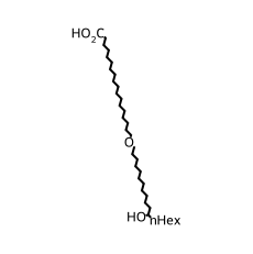 CCCCCCC(O)CCCCCCCCCCCOCCCCCCCCCCCCCCCCCC(=O)O